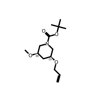 C=CCO[C@H]1C[C@@H](OC)CN(C(=O)OC(C)(C)C)C1